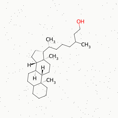 CC(CCO)CCC[C@@H](C)[C@H]1CC[C@H]2[C@@H]3CCC4CCCC[C@]4(C)[C@H]3CC[C@]12C